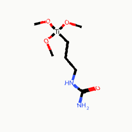 C[O][Ti]([CH2]CCNC(N)=O)([O]C)[O]C